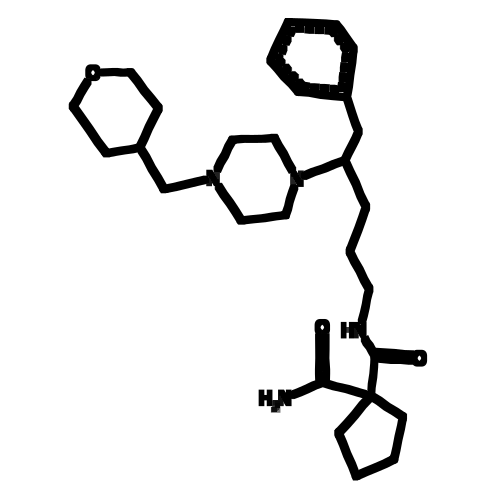 NC(=O)C1(C(=O)NCCCC(Cc2ccccc2)N2CCN(CC3CCOCC3)CC2)CCCC1